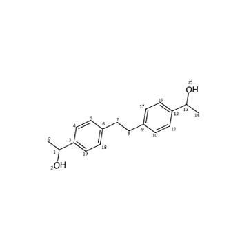 CC(O)c1ccc(CCc2ccc(C(C)O)cc2)cc1